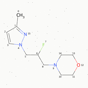 Cc1ccn(CC(F)CN2CCOCC2)n1